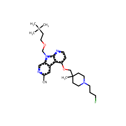 CC1(COc2ccnc3c2c2cc(C#N)ncc2n3COCC[Si](C)(C)C)CCN(CCCF)CC1